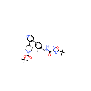 Cc1cc(-c2ccncc2C2CCN(C(=O)OC(C)(C)C)CC2)ccc1CNC(=O)c1noc(C(C)(C)C)n1